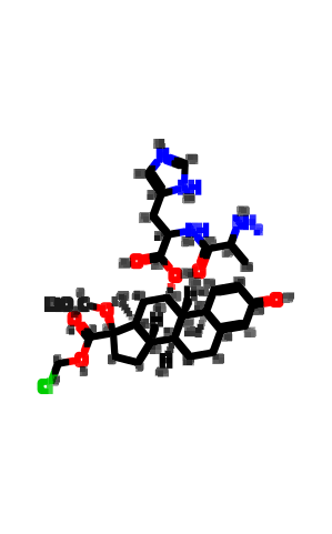 CCOC(=O)O[C@]1(C(=O)OCCl)CC[C@H]2[C@@H]3CCC4=CC(=O)C=C[C@]4(C)[C@H]3[C@@H](OC(=O)C(Cc3cnc[nH]3)NC(=O)C(C)N)C[C@@]21C